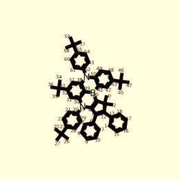 CC1(C)C2=C(C(c3ccccc3)=C1c1ccccc1)N(c1ccc(C(C)(C)C)cc1)c1cc(C(C)(C)C)cc3c1B2c1cc(C(C)(C)C)ccc1N3c1ccc(C(C)(C)C)cc1